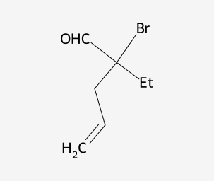 C=CCC(Br)(C=O)CC